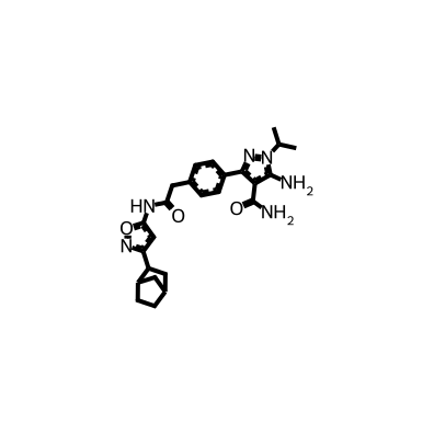 CC(C)n1nc(-c2ccc(CC(=O)Nc3cc(C4CC5CCC4C5)no3)cc2)c(C(N)=O)c1N